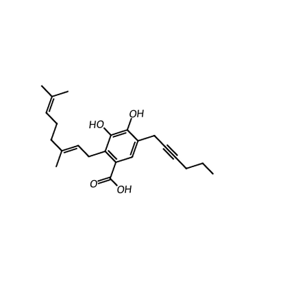 CCCC#CCc1cc(C(=O)O)c(C/C=C(\C)CCC=C(C)C)c(O)c1O